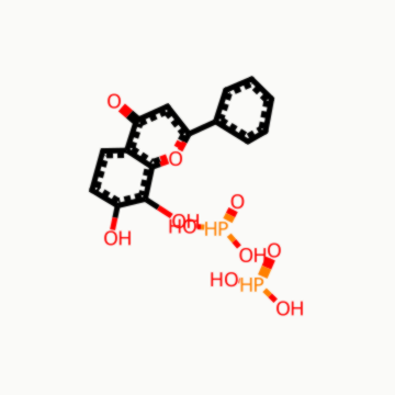 O=[PH](O)O.O=[PH](O)O.O=c1cc(-c2ccccc2)oc2c(O)c(O)ccc12